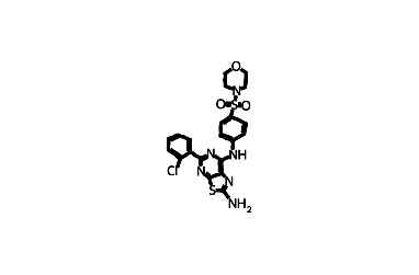 Nc1nc2c(Nc3ccc(S(=O)(=O)N4CCOCC4)cc3)nc(-c3ccccc3Cl)nc2s1